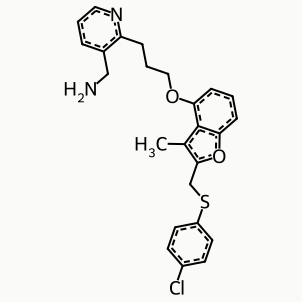 Cc1c(CSc2ccc(Cl)cc2)oc2cccc(OCCCc3ncccc3CN)c12